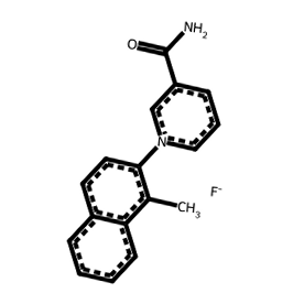 Cc1c(-[n+]2cccc(C(N)=O)c2)ccc2ccccc12.[F-]